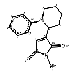 CCCN1C(=O)C=C(C2CCCCN2c2ccccc2)C1=O